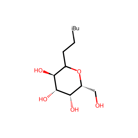 CCC(C)CC[C]1O[C@H](CO)[C@H](O)[C@H](O)[C@H]1O